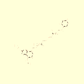 COc1nc2c(OC)ccc(CCNC(=O)CCSCC(=O)NCCc3ccccc3)c2s1